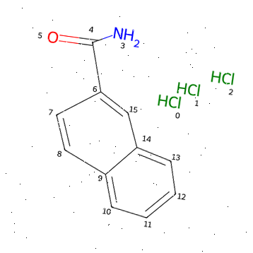 Cl.Cl.Cl.NC(=O)c1ccc2ccccc2c1